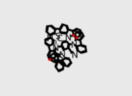 Cc1c(-n2c3ccccc3c3ccc4c5ccccc5sc4c32)c(-n2c3ccccc3c3ccccc32)c(C#N)c(-n2c3ccccc3c3ccccc32)c1-n1c2ccccc2c2ccc3c4ccccc4sc3c21